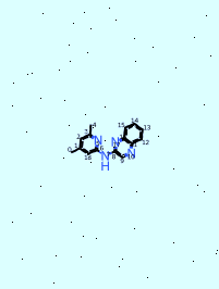 Cc1cc(C)nc(Nc2cnc3ccccc3n2)c1